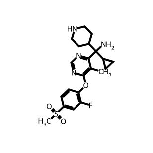 Cc1c(Oc2ccc(S(C)(=O)=O)cc2F)ncnc1C(N)(C1CCNCC1)C1CC1